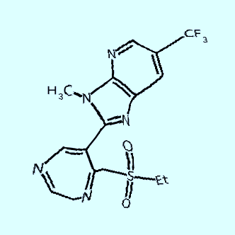 CCS(=O)(=O)c1ncncc1-c1nc2cc(C(F)(F)F)cnc2n1C